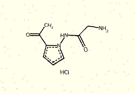 CC(=O)c1cccn1NC(=O)CN.Cl